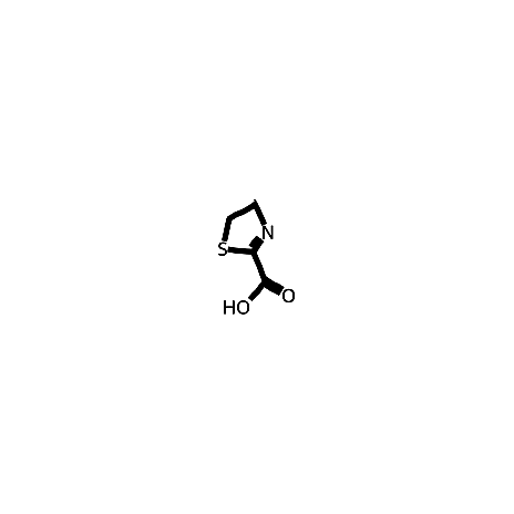 O=C(O)C1=N[CH]CS1